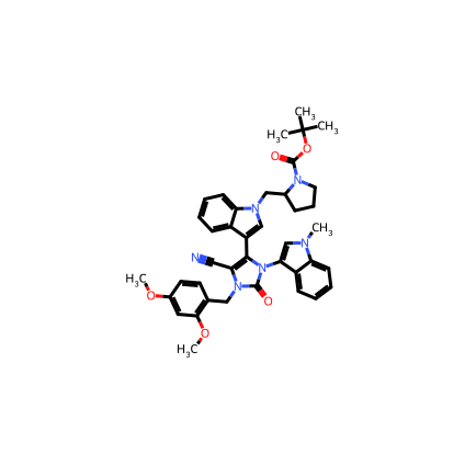 COc1ccc(Cn2c(C#N)c(-c3cn(CC4CCCN4C(=O)OC(C)(C)C)c4ccccc34)n(-c3cn(C)c4ccccc34)c2=O)c(OC)c1